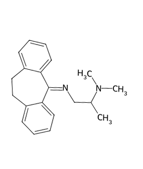 CC(CN=C1c2ccccc2CCc2ccccc21)N(C)C